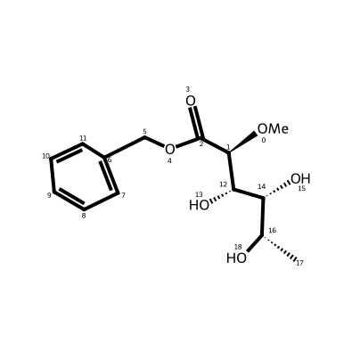 CO[C@H](C(=O)OCc1ccccc1)[C@@H](O)[C@H](O)[C@H](C)O